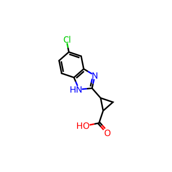 O=C(O)C1CC1c1nc2cc(Cl)ccc2[nH]1